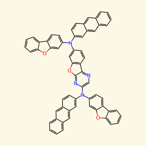 c1ccc2cc3cc(N(c4ccc5c(c4)oc4ccccc45)c4ccc5c(c4)oc4nc(N(c6ccc7cc8ccccc8cc7c6)c6ccc7c(c6)oc6ccccc67)cnc45)ccc3cc2c1